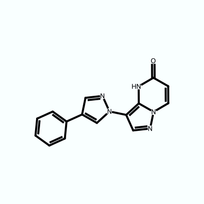 O=c1ccn2ncc(-n3cc(-c4ccccc4)cn3)c2[nH]1